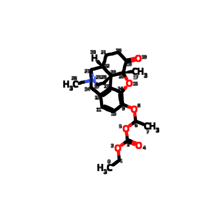 CCOC(=O)OC(C)Oc1ccc2c3c1O[C@@]1(C)C(=O)CC[C@H]4C(C2)N(C)CC[C@@]341